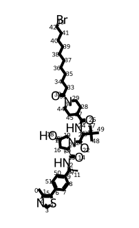 Cc1ncsc1-c1ccc([C@H](C)NC(=O)[C@@H]2C[C@@H](O)CN2C(=O)[C@@H](NC(=O)C2CCN(C(=O)CCCCCCCCCCBr)CC2)C(C)(C)C)cc1